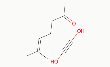 CC(=O)CCC=C(C)C.OC#CO